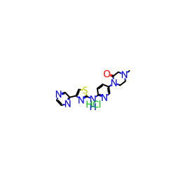 CN1CCN(c2ccc(Nc3nc(-c4cnccn4)cs3)nc2)C(=O)C1.Cl